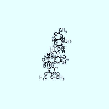 COc1cc([C@@H]2c3cc4c(cc3[C@@H](NC(=O)C[C@]3(O)O[C@@H]5COC(C)O[C@@H]5[C@H](O)[C@H]3O)[C@H]3COC(=O)[C@H]23)OCO4)cc(OC)c1O